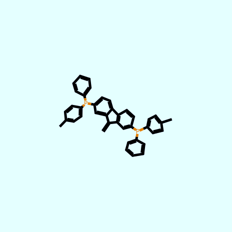 C=C1c2cc(P(c3ccccc3)c3ccc(C)cc3)ccc2-c2ccc(P(c3ccccc3)c3ccc(C)cc3)cc21